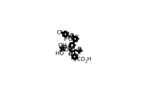 NC(CO)(CO)CO.O=C(O)c1ccc2nc(CN3CCC(c4cccc5c4O[C@@H](c4ccc(Cl)cc4F)O5)CC3)n(C[C@@H]3CCO3)c2c1